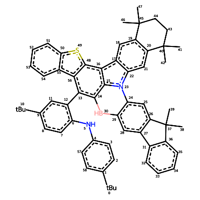 CC(C)(C)c1ccc(Nc2ccc(C(C)(C)C)cc2-c2c3c4c(c5cc6c(cc5n4-c4cc5c(cc4B3)-c3ccccc3C5(C)C)C(C)(C)CCC6(C)C)c3sc4ccccc4c23)cc1